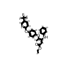 CCOC(=O)C=C(Nc1ccccc1)C(C)Oc1ccc(Oc2ccc(C(F)(F)F)cn2)cc1